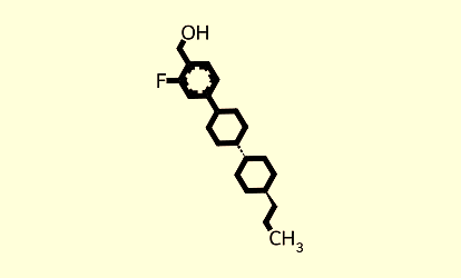 CCC[C@H]1CC[C@H](C2CCC(c3ccc(CO)c(F)c3)CC2)CC1